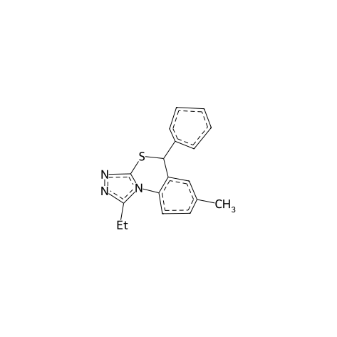 CCc1nnc2n1-c1ccc(C)cc1C(c1ccccc1)S2